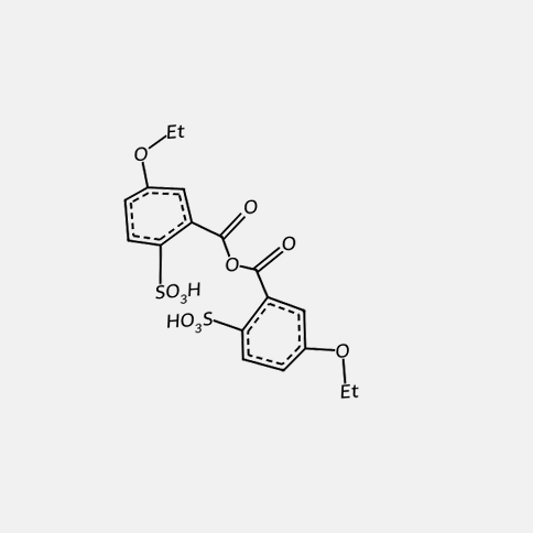 CCOc1ccc(S(=O)(=O)O)c(C(=O)OC(=O)c2cc(OCC)ccc2S(=O)(=O)O)c1